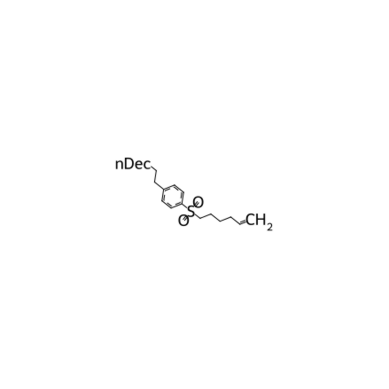 C=CCCCCS(=O)(=O)c1ccc(CCCCCCCCCCCC)cc1